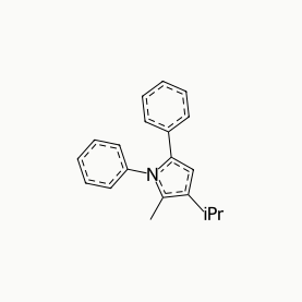 Cc1c(C(C)C)cc(-c2ccccc2)n1-c1ccccc1